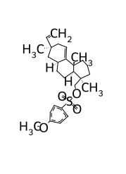 C=C[C@@]1(C)CC=C2[C@@H](CC[C@@H]3[C@](C)(COS(=O)(=O)c4ccc(OC)cc4)CCC[C@@]23C)C1